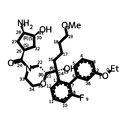 CCOc1cccc(-c2c(F)cccc2[C@](O)(CCCCOC)[C@H]2CN(C(=O)[C@H]3C[C@@H](N)[C@@H](O)C3)CCO2)c1